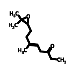 CCC(=O)CC=C(C)CCC1OC1(C)C